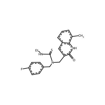 CCNC(=S)N(Cc1ccc(F)cc1)Cc1cc2cccc(C)c2[nH]c1=O